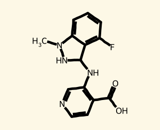 CN1NC(Nc2cnccc2C(=O)O)c2c(F)cccc21